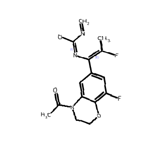 C=N/C(Cl)=N\C(=C(/C)F)c1cc(F)c2c(c1)N(C(C)=O)CCO2